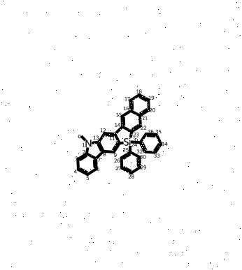 Cn1c2ccccc2c2cc3c(cc21)-c1cc2ccccc2cc1[Si]3(c1ccccc1)c1ccccc1